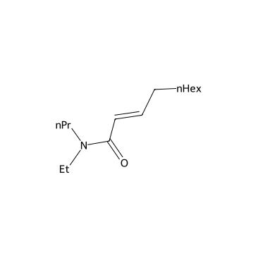 CCCCCCC/C=C/C(=O)N(CC)CCC